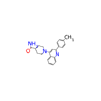 Cc1ccc(-c2cc(N3CCC(C(N)=O)CC3)c3ccccc3n2)cc1